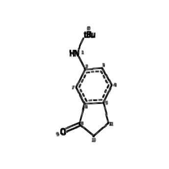 CC(C)(C)Nc1ccc2c(c1)C(=O)CC2